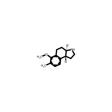 COc1c(C)ccc2c1CC[C@H]1NCC[C@H]21